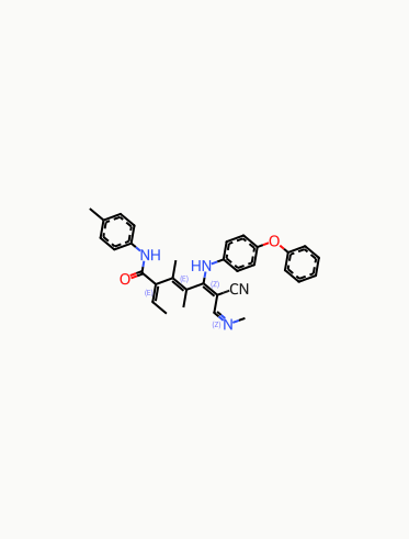 C\C=C(C(=O)Nc1ccc(C)cc1)/C(C)=C(C)/C(Nc1ccc(Oc2ccccc2)cc1)=C(C#N)\C=N/C